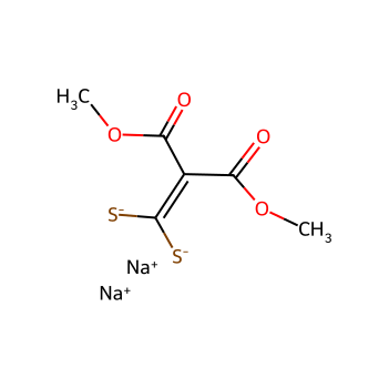 COC(=O)C(C(=O)OC)=C([S-])[S-].[Na+].[Na+]